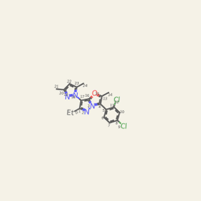 CCc1nn2c(-c3ccc(Cl)cc3Cl)c(C)oc2c1-n1nc(C)cc1C